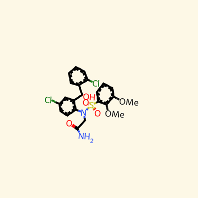 COc1cccc(S(=O)(=O)N(CC(N)=O)c2ccc(Cl)cc2C(O)c2ccccc2Cl)c1OC